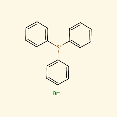 [Br-].c1ccc([S+](c2ccccc2)c2ccccc2)cc1